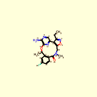 CCc1noc2c1-c1cnc(N)c(n1)O[C@H](C)c1cc(F)ccc1C(=O)N(C)C2